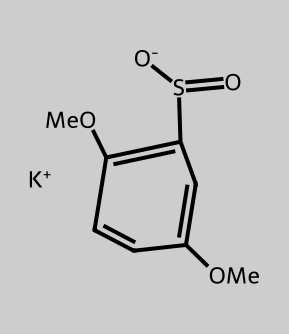 COc1ccc(OC)c(S(=O)[O-])c1.[K+]